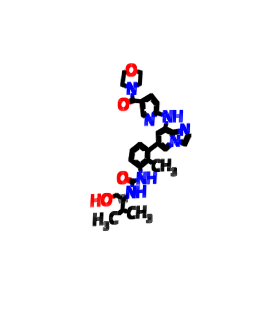 Cc1c(NC(=O)N[C@H](CO)C(C)C)cccc1-c1cc(Nc2ccc(C(=O)N3CCOCC3)cn2)c2nccn2c1